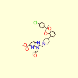 COC(=O)c1ccc2nc(CN3CCC(c4cccc5c4OCC(C)(c4ccc(Cl)cc4)O5)CC3)n(C[C@@H]3CCO3)c2n1